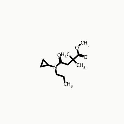 CCCN(C(=O)CC(C)(C)C(=O)OC)C1CC1